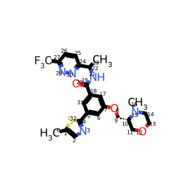 Cc1cnc(-c2cc(OC[C@H]3COCCN3C)cc(C(=O)NC(C)c3ccc(C(F)(F)F)nn3)c2)s1